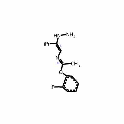 C/C(=N\C=C(\NN)C(C)C)Oc1ccccc1F